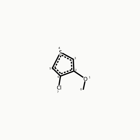 COc1cs[c]c1Cl